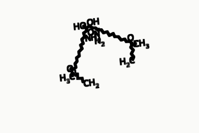 C=CCCCN(C)C(=O)CCCCCCCCCCC(N)CC1OC(C[C@H](N)CCCCCCCCCCC(=O)N(C)CCCC=C)C(O)C1O